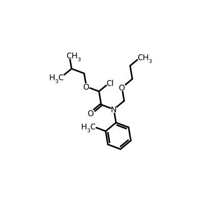 CCCOCN(C(=O)C(Cl)OCC(C)C)c1ccccc1C